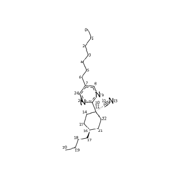 CCCCCCCc1cnc([C@]2(C#N)CC[C@H](CCCC)CC2)nc1